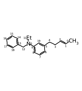 CC=CCCc1cccc(N(CC)Cc2ccccc2)c1